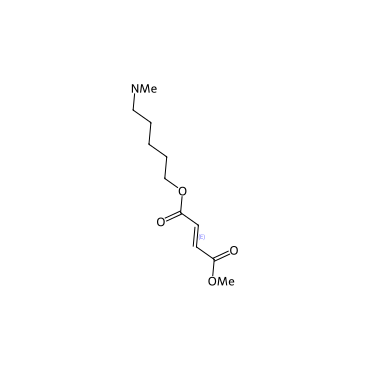 CNCCCCCOC(=O)/C=C/C(=O)OC